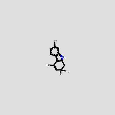 CC1=CC(C)(C(C)C)Cc2[nH]c3cc(C(C)C)ccc3c21